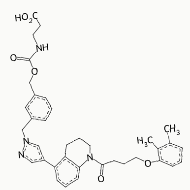 Cc1cccc(OCCCC(=O)N2CCCc3c(-c4cnn(Cc5cccc(COC(=O)NCCC(=O)O)c5)c4)cccc32)c1C